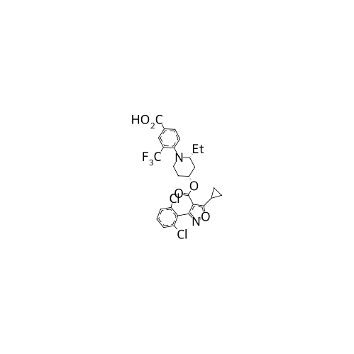 CC[C@@H]1C[C@H](OC(=O)c2c(-c3c(Cl)cccc3Cl)noc2C2CC2)CCN1c1ccc(C(=O)O)cc1C(F)(F)F